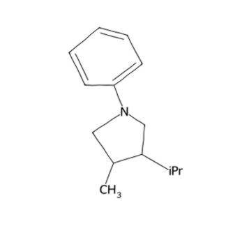 CC(C)C1CN(c2ccccc2)CC1C